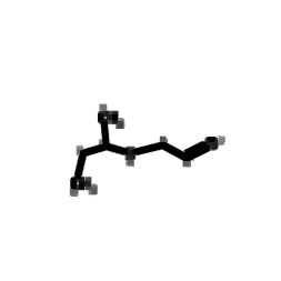 CCC(C)SC[C]=O